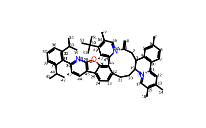 C=C1CC2c3cc(C)ccc3-c3cc(C)c(C)c[n+]3C2CCc2ccc3c(oc4nc(-c5c(C(C)C)cccc5C(C)C)ccc43)c2-c2cc(C(C)(C)C)c(C)c[n+]21